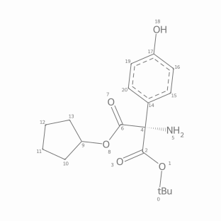 CC(C)(C)OC(=O)[C@@](N)(C(=O)OC1CCCC1)c1ccc(O)cc1